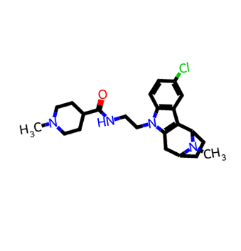 CN1CCC(C(=O)NCCn2c3c(c4cc(Cl)ccc42)C2CCC(C3)N2C)CC1